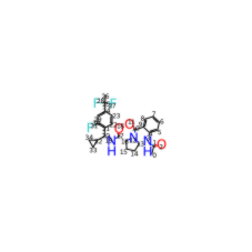 CC(=O)Nc1ccccc1C(=O)N1CCC[C@@H]1C(=O)N[C@@H](c1ccc(C(C)(F)F)cc1F)C1CC1